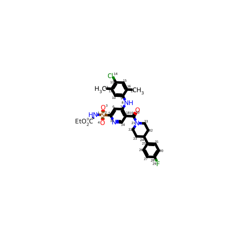 CCOC(=O)NS(=O)(=O)c1cc(Nc2cc(C)c(Cl)cc2C)c(C(=O)N2CCC(c3ccc(F)cc3)CC2)cn1